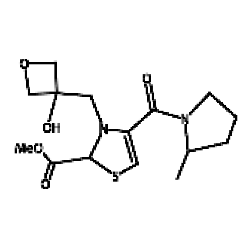 COC(=O)C1SC=C(C(=O)N2CCCC2C)N1CC1(O)COC1